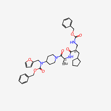 CC(C)(C)[C@H](NC(=O)[C@@H](CNC(=O)OCc1ccccc1)CC1CCCC1)C(=O)N1CCC(N(Cc2ccco2)C(=O)OCc2ccccc2)CC1